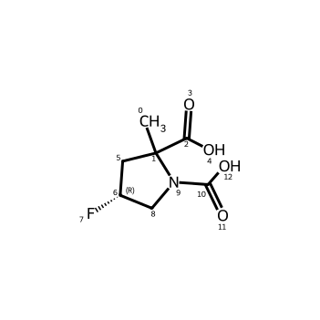 CC1(C(=O)O)C[C@@H](F)CN1C(=O)O